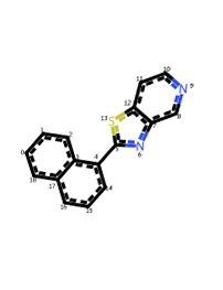 c1ccc2c(-c3nc4cnccc4s3)cccc2c1